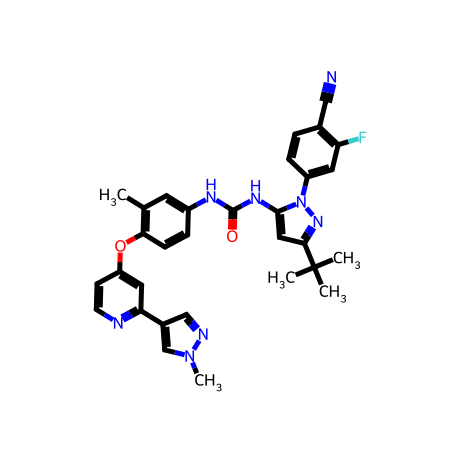 Cc1cc(NC(=O)Nc2cc(C(C)(C)C)nn2-c2ccc(C#N)c(F)c2)ccc1Oc1ccnc(-c2cnn(C)c2)c1